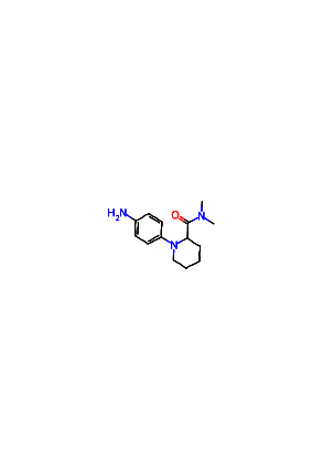 CN(C)C(=O)C1CCCCN1c1ccc(N)cc1